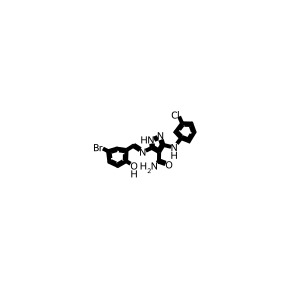 NC(=O)c1c(Nc2cccc(Cl)c2)n[nH]c1/N=C/c1cc(Br)ccc1O